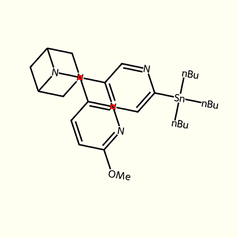 CCC[CH2][Sn]([CH2]CCC)([CH2]CCC)[c]1cnc(N2CC3CC(C2)N3Cc2ccc(OC)nc2)cn1